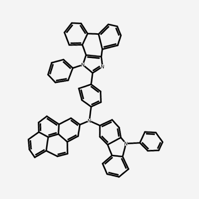 c1ccc(-n2c(-c3ccc(N(c4cc5ccc6cccc7ccc(c4)c5c67)c4ccc5c(c4)c4ccccc4n5-c4ccccc4)cc3)nc3c4ccccc4c4ccccc4c32)cc1